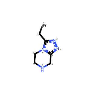 CC(C)Cc1nnc2n1CCNC2